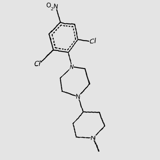 CN1CCC(N2CCN(c3c(Cl)cc([N+](=O)[O-])cc3Cl)CC2)CC1